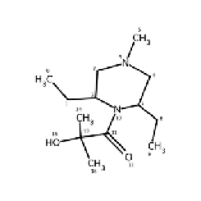 CCC1CN(C)CC(CC)N1C(=O)C(C)(C)O